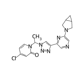 CC(n1cc(-c2cncc(N3CC4CC4C3)n2)nn1)n1ccc(Cl)cc1=O